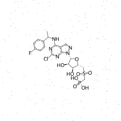 CC(Nc1nc(Cl)nc2c1cnn2[C@@H]1O[C@H](CS(=O)(=O)CP(=O)(O)O)[C@@H](O)[C@H]1O)c1ccc(F)cc1